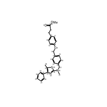 COC(=O)CCc1ccc(OCc2ccc(CN(C)c3nc(-c4ccccc4)c(C)s3)cc2)cc1